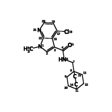 Cn1cc(C(=O)NCC23CCC(CC2)CC3)c2c(Cl)ccnc21